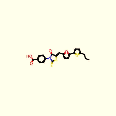 CCCc1ccc(-c2ccc(C=C3SC(=S)N(c4ccc(C(=O)O)cc4)C3=O)o2)s1